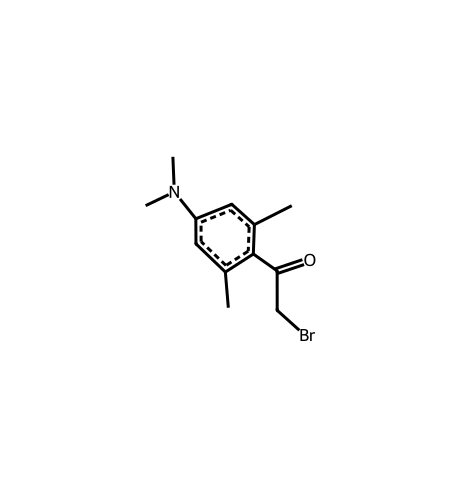 Cc1cc(N(C)C)cc(C)c1C(=O)CBr